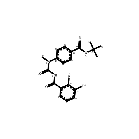 CN(C(=O)NC(=O)c1cccc(F)c1F)c1ccc(C(=O)OC(C)(C)C)cc1